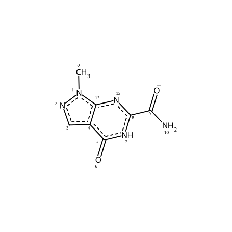 Cn1ncc2c(=O)[nH]c(C(N)=O)nc21